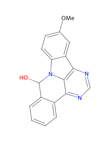 COc1ccc2c(c1)c1ncnc3c1n2C(O)c1ccccc1-3